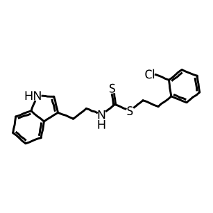 S=C(NCCc1c[nH]c2ccccc12)SCCc1ccccc1Cl